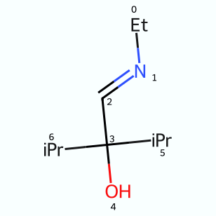 CCN=CC(O)(C(C)C)C(C)C